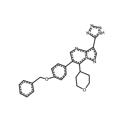 c1ccc(COc2ccc(-c3cnc4c(-c5nnn[nH]5)cnn4c3C3CCOCC3)cc2)cc1